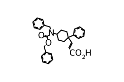 O=C(O)C=CC1(c2ccccc2)CCC(N(Cc2ccccc2)C(=O)OCc2ccccc2)CC1